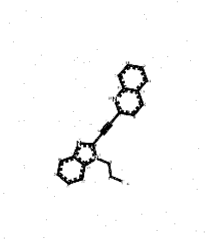 FCCn1c(C#Cc2ccc3ccccc3n2)nc2ccccc21